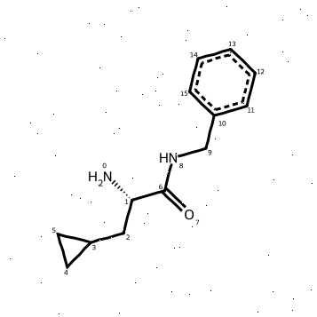 N[C@@H](CC1CC1)C(=O)NCc1cc[c]cc1